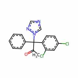 CC(=O)C(c1ccccc1)(c1ccc(Cl)cc1Cl)n1cncn1